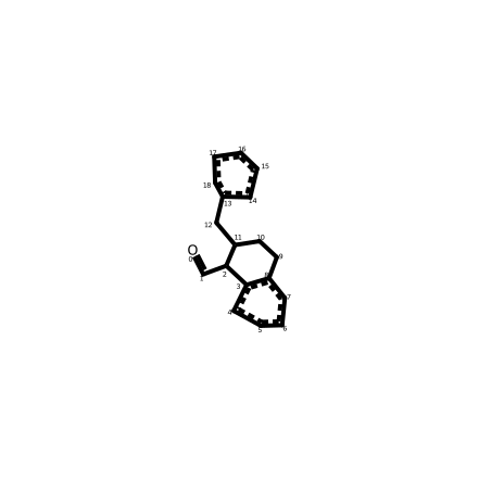 O=CC1c2ccccc2CCC1Cc1ccccc1